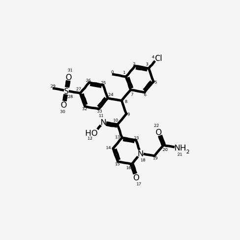 Cc1cc(Cl)ccc1C(CC(=NO)c1ccc(=O)n(CC(N)=O)c1)c1ccc(S(C)(=O)=O)cc1